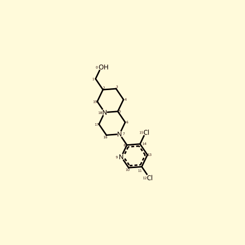 OCC1CCC2CN(c3ncc(Cl)cc3Cl)CCN2C1